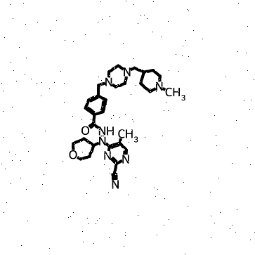 Cc1cnc(C#N)nc1N(NC(=O)c1ccc(CN2CCN(CC3CCN(C)CC3)CC2)cc1)C1CCOCC1